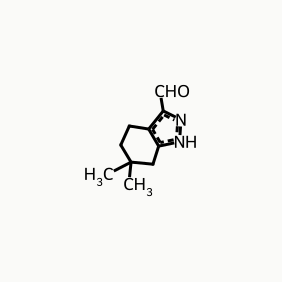 CC1(C)CCc2c(C=O)n[nH]c2C1